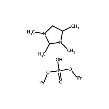 CC(C)OP(=O)(O)OC(C)C.CC1CN(C)C(C)N1C